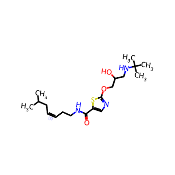 CC(C)C/C=C\CCNC(=O)c1cnc(OCC(O)CNC(C)(C)C)s1